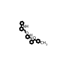 Cc1ccc(C(=O)c2ccccc2Nc2[c]c(OCCc3cccc4c3[nH]c3ccccc34)ccc2)cc1